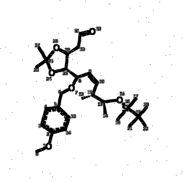 COc1ccc(COC(/C=C\[C@@H](C)[C@H](C)O[Si](C)(C)C(C)(C)C)[C@H]2OC(C)(C)O[C@H]2CC=O)cc1